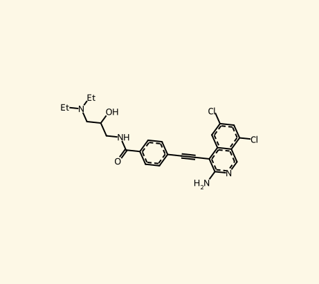 CCN(CC)CC(O)CNC(=O)c1ccc(C#Cc2c(N)ncc3c(Cl)cc(Cl)cc23)cc1